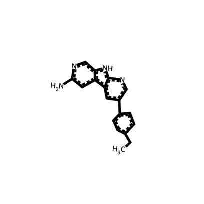 CCc1ccc(-c2cnc3[nH]c4cnc(N)cc4c3c2)cc1